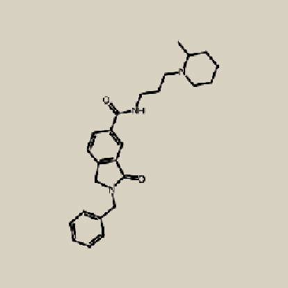 CC1CCCCN1CCCNC(=O)c1ccc2c(c1)C(=O)N(Cc1ccccc1)C2